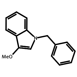 COc1cn(Cc2ccccc2)c2ccccc12